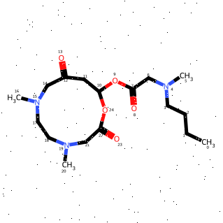 CCCCN(C)CC(=O)OC1CC(=O)CN(C)CCN(C)CC(=O)O1